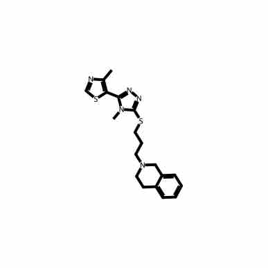 Cc1ncsc1-c1nnc(SCCCN2CCc3ccccc3C2)n1C